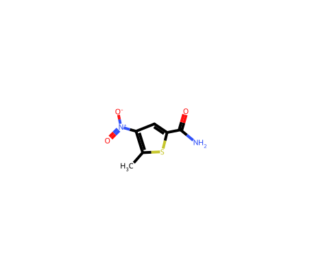 Cc1sc(C(N)=O)cc1[N+](=O)[O-]